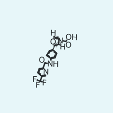 O=C(Nc1ccc([C@H]2O[C@H]3C[C@@H]2N(C(=O)O)C3)cc1)c1ccc(C(F)(F)F)cn1